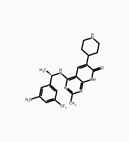 Cc1nc(N[C@H](C)c2cc(N)cc(C(F)(F)F)c2)c2cc(C3CCNCC3)c(=O)[nH]c2n1